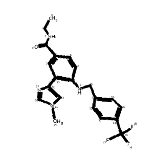 CCNC(=O)c1ccc(NCc2ccc(C(F)(F)F)cc2)c(-c2cn(C)cn2)c1